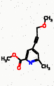 COCC#Cc1cc(C)nc(C(=O)OC)c1